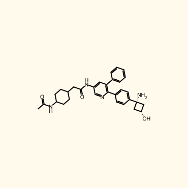 CC(=O)NC1CCC(CC(=O)Nc2cnc(-c3ccc([C@]4(N)C[C@@H](O)C4)cc3)c(-c3ccccc3)c2)CC1